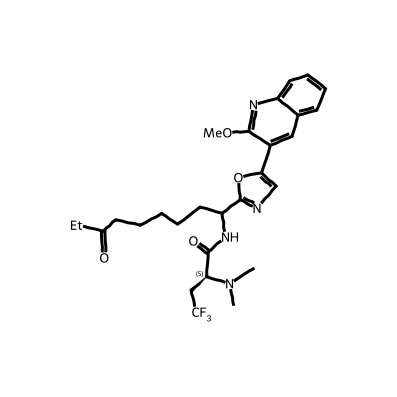 CCC(=O)CCCCCC(NC(=O)[C@H](CC(F)(F)F)N(C)C)c1ncc(-c2cc3ccccc3nc2OC)o1